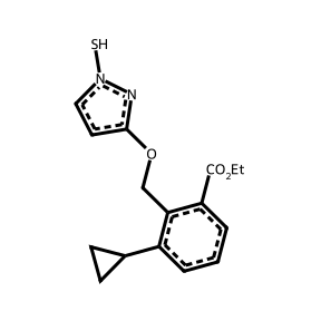 CCOC(=O)c1cccc(C2CC2)c1COc1ccn(S)n1